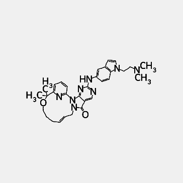 CN(C)CCn1ccc2cc(Nc3ncc4c(=O)n5n(c4n3)-c3cccc(n3)C(C)(C)OCCC/C=C/C5)ccc21